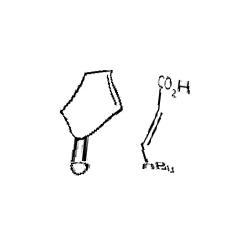 CCCCC=CC(=O)O.O=C1C=CCC1